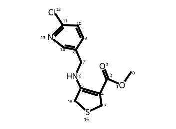 COC(=O)C1=C(NCc2ccc(Cl)nc2)CSC1